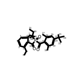 CCc1cccc(CC)c1C(=O)P(=O)(C(=O)c1c(C)cc(C(C)(C)C)cc1C)C(C)CC